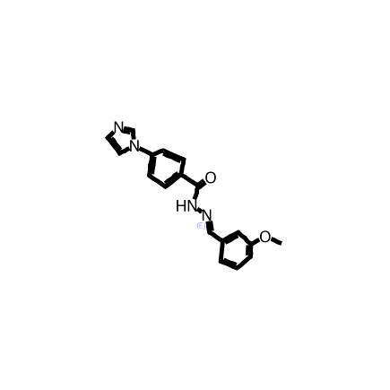 COc1cccc(/C=N/NC(=O)c2ccc(-n3ccnc3)cc2)c1